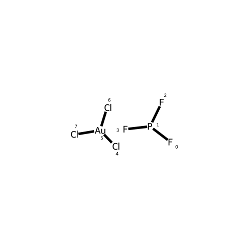 FP(F)F.[Cl][Au]([Cl])[Cl]